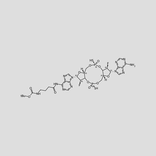 CC(C)(C)OC(=O)NCCCC(=O)Nc1ncnc2c1ncn2[C@@H]1O[C@@H]2CO[P@@](=O)(S)OC3[C@@H](F)[C@H](n4cnc5c(N)ncnc54)O[C@@H]3CO[P@@](=O)(S)OC2[C@H]1F